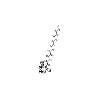 CCCCCCCCCCCCCCCCC(C(=O)O)P(=O)=O